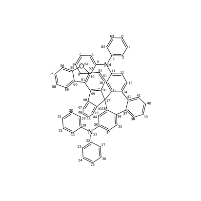 c1ccc(N(c2ccccc2)c2ccc3c(c2)C2(c4cc(N(c5ccccc5)c5ccccc5)ccc4-c4ccccc4-3)c3ccccc3-c3c2ccc2oc4ccccc4c32)cc1